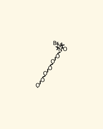 COCCOCCOCCOCCOCCOCCN1C(=O)C(C)(C)N(Br)C1(C)C